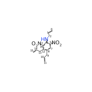 C=CCNc1c([N+](=O)[O-])cc(CC=C)c(CC=C)c1[N+](=O)[O-]